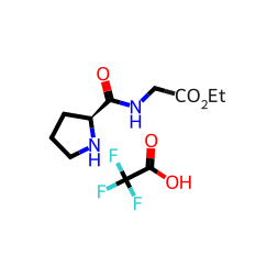 CCOC(=O)CNC(=O)[C@@H]1CCCN1.O=C(O)C(F)(F)F